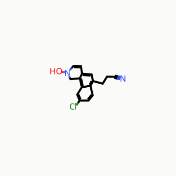 N#CCCc1cc2c(c3cc(Cl)ccc13)CN(O)C=C2